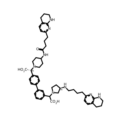 O=C(CCCc1ccc2c(n1)NCCC2)NC1CCN([C@@H](C(=O)O)c2ccc(-c3cccc(C(C(=O)O)N4CC[C@@H](NCCCCc5ccc6c(n5)NCCC6)C4)c3)cc2)CC1